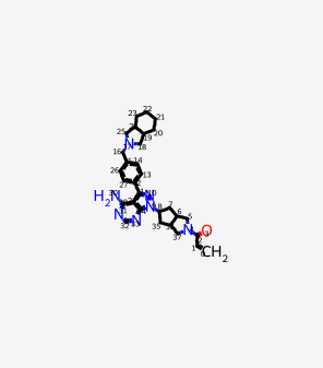 C=CC(=O)N1CC2CC(n3nc(-c4ccc(CN5CC6CCCCC6C5)cc4)c4c(N)ncnc43)CC2C1